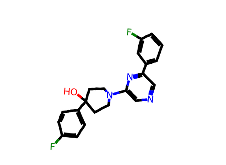 OC1(c2ccc(F)cc2)CCN(c2cncc(-c3cccc(F)c3)n2)CC1